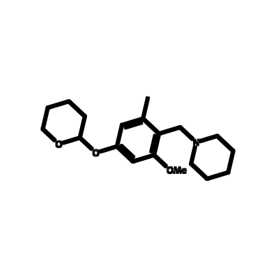 COc1cc(OC2CCCCO2)cc(C)c1CN1CCCCC1